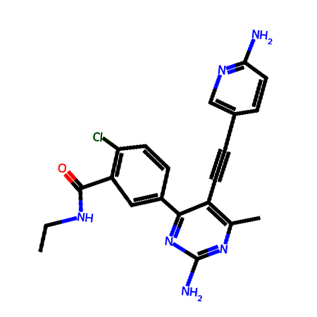 CCNC(=O)c1cc(-c2nc(N)nc(C)c2C#Cc2ccc(N)nc2)ccc1Cl